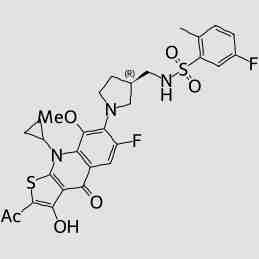 COc1c(N2CC[C@@H](CNS(=O)(=O)c3cc(F)ccc3C)C2)c(F)cc2c(=O)c3c(O)c(C(C)=O)sc3n(C3CC3)c12